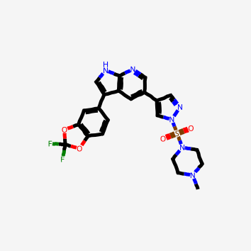 CN1CCN(S(=O)(=O)n2cc(-c3cnc4[nH]cc(-c5ccc6c(c5)OC(F)(F)O6)c4c3)cn2)CC1